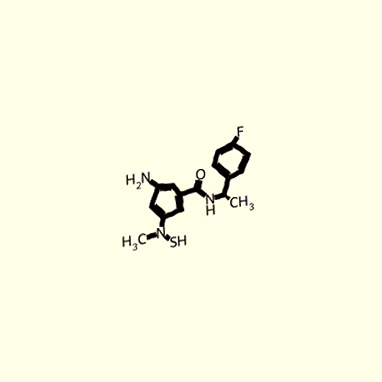 C[C@@H](NC(=O)c1cc(N)cc(N(C)S)c1)c1ccc(F)cc1